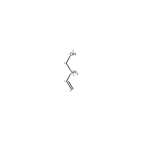 C=C[SiH2]CO